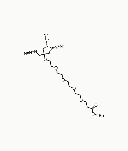 CC(C)(C)OC(=O)CCOCCOCCOCCOCCOC(CN=[N+]=[N-])(CN=[N+]=[N-])CN=[N+]=[N-]